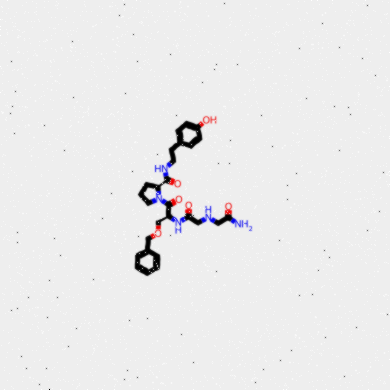 NC(=O)CNCC(=O)N[C@@H](COCc1ccccc1)C(=O)N1CCC[C@H]1C(=O)NCCc1ccc(O)cc1